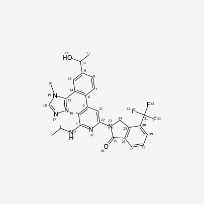 CCNc1cc(-c2ccc(C(C)O)cc2-c2nncn2C)cc(N2Cc3c(cccc3C(F)(F)F)C2=O)n1